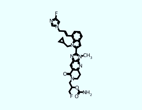 Cn1c(-c2cc3cccc(C=CCn4cnc(F)c4)c3n2CC2CC2)nc2cc3c(nc21)CCN(CC(CF)OC(N)=O)C3=O